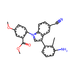 COC(=O)c1cc(OC)ccc1-n1cc(-c2cccc(N)c2C)c2cc(C#N)ccc21